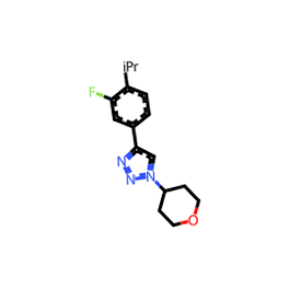 CC(C)c1ccc(-c2cn(C3CCOCC3)nn2)cc1F